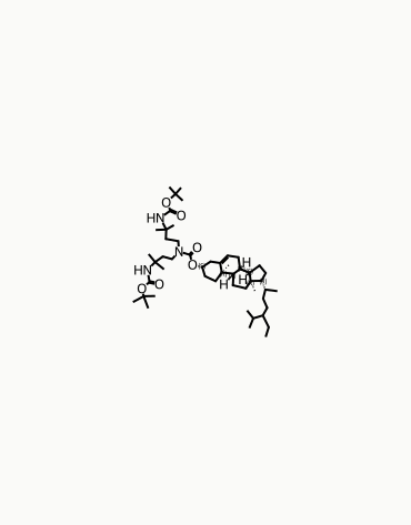 CCC(CCC(C)[C@H]1CC[C@H]2[C@@H]3CC=C4C[C@@H](OC(=O)N(CCC(C)(C)NC(=O)OC(C)(C)C)CCC(C)(C)NC(=O)OC(C)(C)C)CC[C@]4(C)[C@H]3CC[C@]12C)C(C)C